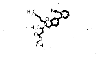 CCCCC(=O)N(Cc1ccc(-c2ccccc2C#N)cc1)C(C)CC(=O)OCC